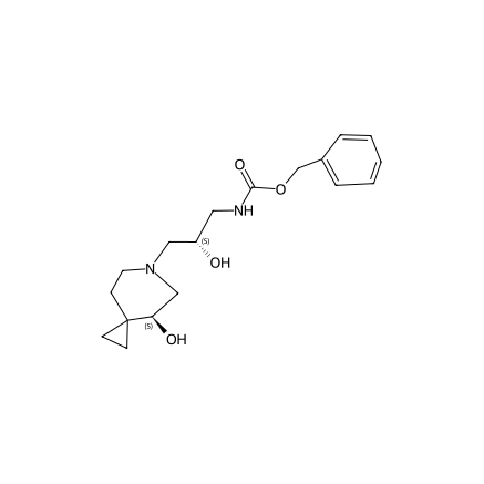 O=C(NC[C@H](O)CN1CCC2(CC2)[C@H](O)C1)OCc1ccccc1